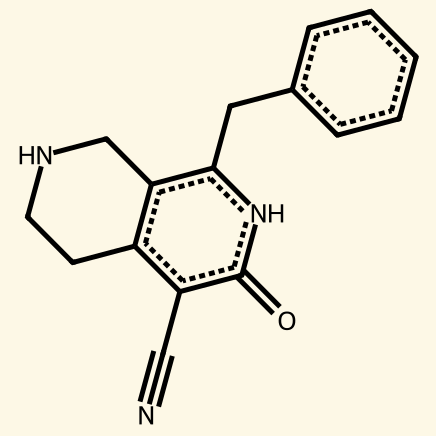 N#Cc1c2c(c(Cc3ccccc3)[nH]c1=O)CNCC2